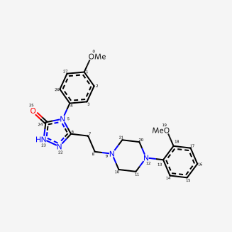 COc1ccc(-n2c(CCN3CCN(c4ccccc4OC)CC3)n[nH]c2=O)cc1